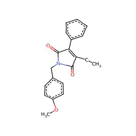 CCC1=C(c2ccccc2)C(=O)N(Cc2ccc(OC)cc2)C1=O